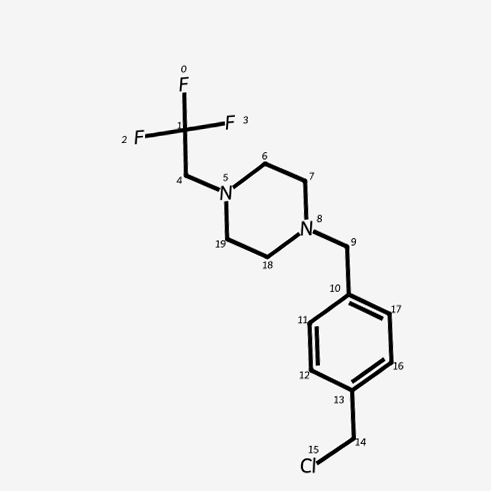 FC(F)(F)CN1CCN(Cc2ccc(CCl)cc2)CC1